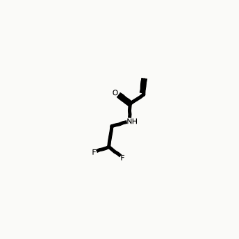 C=CC(=O)NCC(F)F